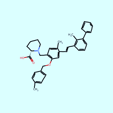 Cc1ccc(COc2cc(/C=C/c3cccc(-c4ccccc4)c3C)c(C)cc2CN2CCCC[C@H]2C(=O)O)cc1